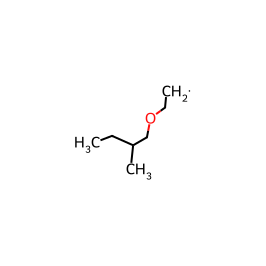 [CH2]COCC(C)CC